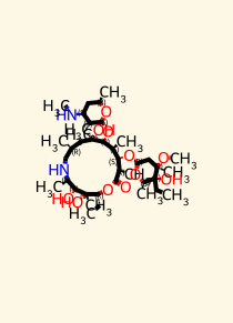 CC[C@H]1OC(=O)[C@H](C)[C@@H](O[C@H]2C[C@@](C)(OC)[C@](O)(CC)[C@H](C)O2)[C@H](C)[C@@H](O[C@@H]2O[C@H](C)C[C@H](NC)[C@H]2C)[C@](C)(O)C[C@@H](C)CN[C@H](C)[C@@H](O)[C@]1(C)O